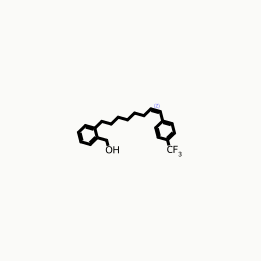 OCc1ccccc1CCCCCC/C=C\c1ccc(C(F)(F)F)cc1